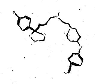 CN(CCCC1(c2ccc(F)cc2)OCCO1)CCN1CCC(Oc2ccc(Cl)cc2)CC1